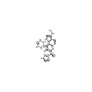 CCN(Cc1cnc2c(cnn2CC)c1NC1CCOCC1)C(=O)c1ccno1